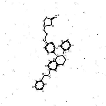 O=C1CCC(CCOc2ccc([C@@H]3c4ccc(OCc5ccccc5)cc4CC[C@@H]3c3ccccc3)cc2)C1